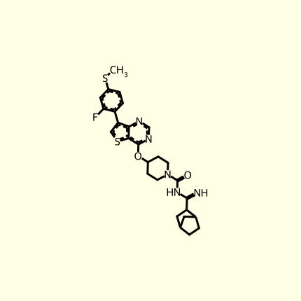 CSc1ccc(-c2csc3c(OC4CCN(C(=O)NC(=N)C5CC6CCC5C6)CC4)ncnc23)c(F)c1